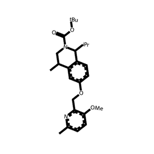 COc1ccc(C)nc1COc1ccc2c(c1)C(C)CN(C(=O)OC(C)(C)C)C2C(C)C